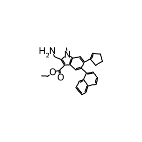 CCOC(=O)c1c(CN)n(C)c2cc(C3=CCCC3)c(-c3cccc4ccccc34)cc12